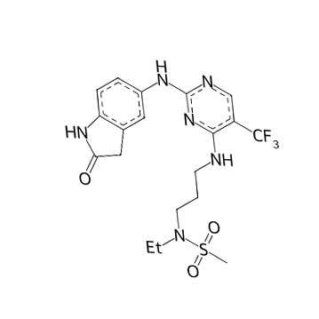 CCN(CCCNc1nc(Nc2ccc3c(c2)CC(=O)N3)ncc1C(F)(F)F)S(C)(=O)=O